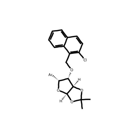 CC(=O)[C@H]1O[C@@H]2OC(C)(C)O[C@@H]2[C@H]1OCc1c(Cl)ccc2ccccc12